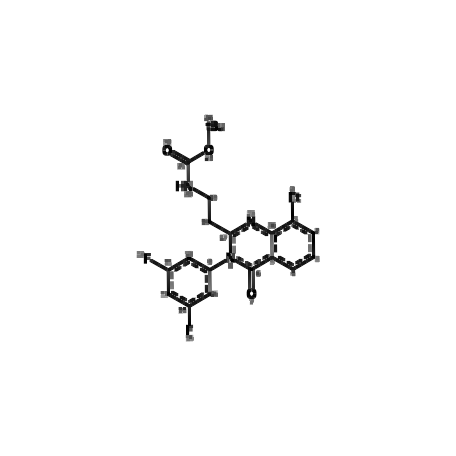 CCc1cccc2c(=O)n(-c3cc(F)cc(F)c3)c(CCNC(=O)OC(C)(C)C)nc12